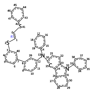 C(=C\Sc1cccc(-c2cccc(N(c3ccccc3)c3ccc4c(c3)c3ccccc3n4-c3ccccc3)c2)c1)/Sc1ccccc1